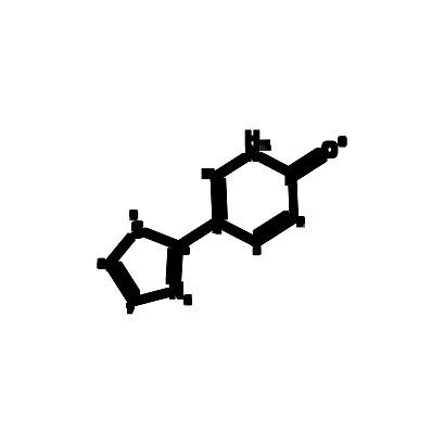 O=c1ccc(-c2nc[c]s2)c[nH]1